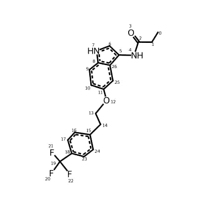 CCC(=O)Nc1c[nH]c2ccc(OCCc3ccc(C(F)(F)F)cc3)cc12